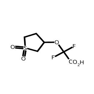 O=C(O)C(F)(F)OC1CCS(=O)(=O)C1